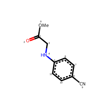 COC(=O)CNc1ccc(C#N)cc1